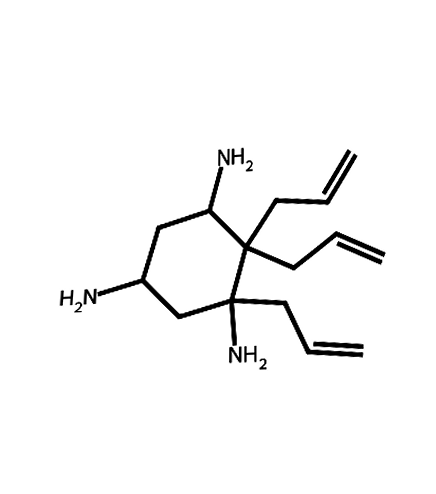 C=CCC1(N)CC(N)CC(N)C1(CC=C)CC=C